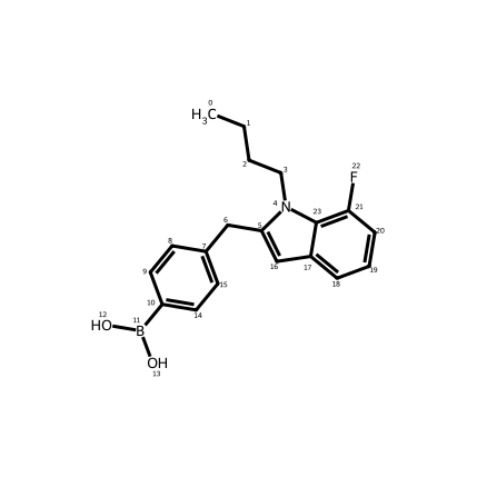 CCCCn1c(Cc2ccc(B(O)O)cc2)cc2cccc(F)c21